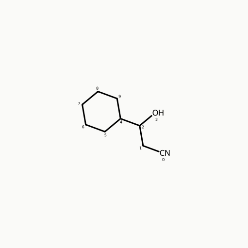 N#CCC(O)C1CCCCC1